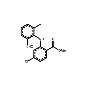 COC(=O)c1ccc(Cl)cc1Nc1c(C)cccc1C=O